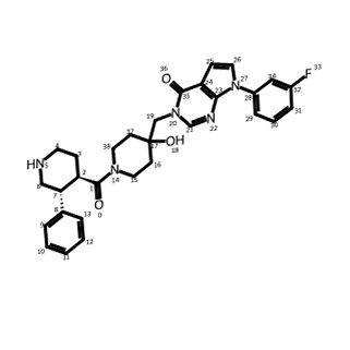 O=C([C@@H]1CCNC[C@H]1c1ccccc1)N1CCC(O)(Cn2cnc3c(ccn3-c3cccc(F)c3)c2=O)CC1